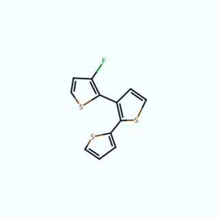 Fc1ccsc1-c1ccsc1-c1cccs1